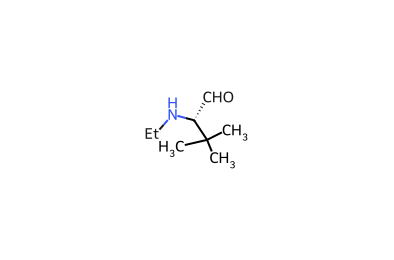 CCN[C@H](C=O)C(C)(C)C